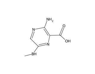 CBc1cnc(N)c(C(=O)O)n1